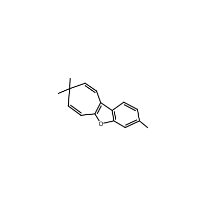 Cc1ccc2c3c(oc2c1)C=CC(C)(C)C=C3